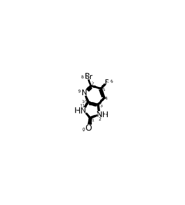 O=c1[nH]c2cc(F)c(Br)nc2[nH]1